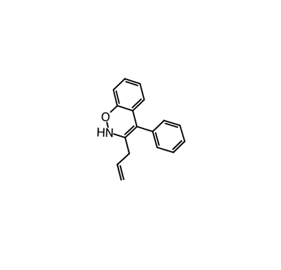 C=CCC1=C(c2ccccc2)c2ccccc2ON1